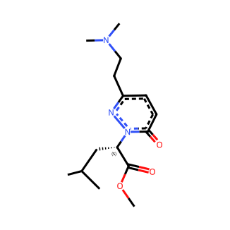 COC(=O)[C@H](CC(C)C)n1nc(CCN(C)C)ccc1=O